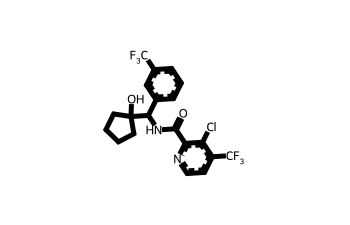 O=C(NC(c1cccc(C(F)(F)F)c1)C1(O)CCCC1)c1nccc(C(F)(F)F)c1Cl